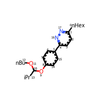 CCCCCCc1ccc(-c2ccc(OC(OCCCC)C(C)C)cc2)nn1